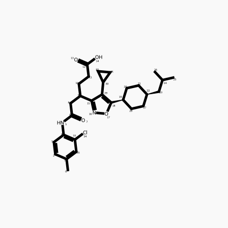 Cc1ccc(NC(=O)CC(CCC(=O)O)c2noc([C@H]3CC[C@@H](CC(C)C)CC3)c2C2CC2)c(Cl)c1